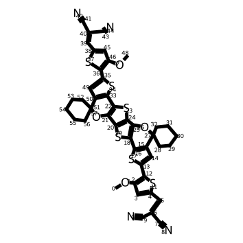 COc1cc(C=C(C#N)C#N)sc1-c1cc2c(s1)-c1sc3c4c(sc3c1OC21CCCCC1)-c1sc(-c2sc(C=C(C#N)C#N)cc2OC)cc1C1(CCCCC1)O4